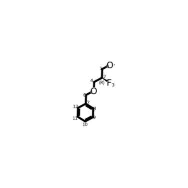 [O]C[C@@H](F)COCc1ccccc1